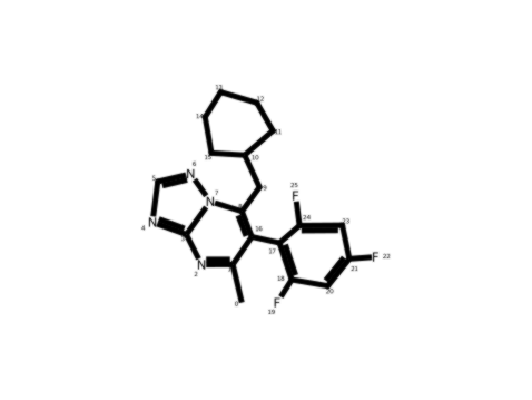 Cc1nc2ncnn2c(CC2CCCCC2)c1-c1c(F)cc(F)cc1F